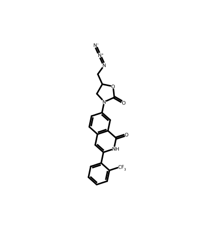 [N-]=[N+]=NCC1CN(c2ccc3cc(-c4ccccc4C(F)(F)F)[nH]c(=O)c3c2)C(=O)O1